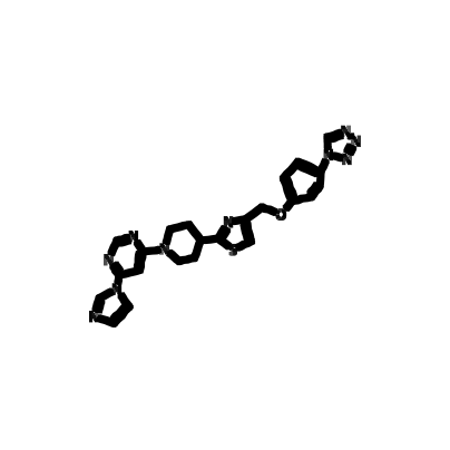 c1cn(-c2cc(N3CCC(c4nc(COc5ccc(-n6cnnn6)cc5)cs4)CC3)ncn2)cn1